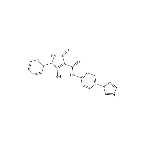 O=C(Nc1ccc(-n2ccnc2)cc1)C1=C(O)C(c2ccccc2)NC1=O